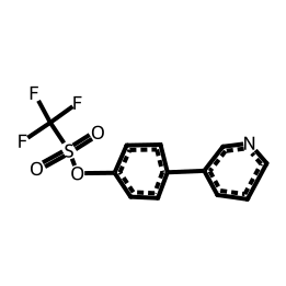 O=S(=O)(Oc1ccc(-c2cccnc2)cc1)C(F)(F)F